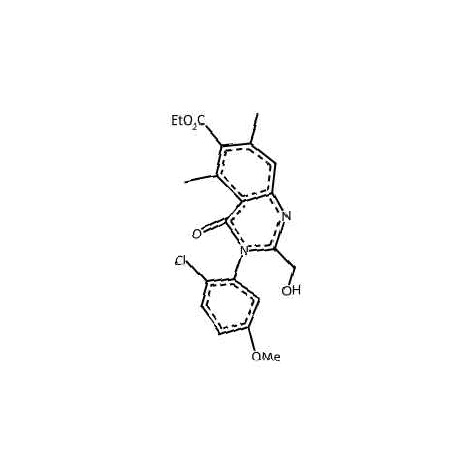 CCOC(=O)c1c(C)cc2nc(CO)n(-c3cc(OC)ccc3Cl)c(=O)c2c1C